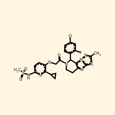 Cc1nn2c3c(nc2s1)CCN(C(=O)COc1ccc(NS(C)(=O)=O)nc1C1CC1)C3c1ccc(Cl)cc1F